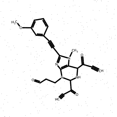 C#CC(=O)C1NC(C(=O)C#C)N(CCC=O)c2nc(C#Cc3cccc(OC)c3)n(C)c21